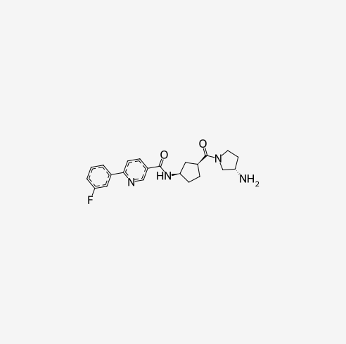 N[C@H]1CCN(C(=O)[C@H]2CC[C@@H](NC(=O)c3ccc(-c4cccc(F)c4)nc3)C2)C1